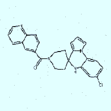 O=C(c1ccc2ncccc2c1)N1CCC2(CC1)Nc1cc(Cl)ccc1-n1cccc12